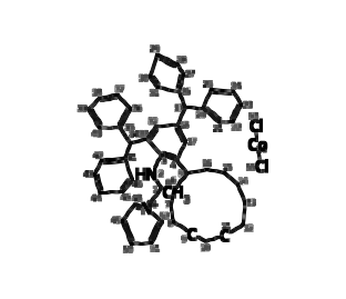 CC(Nc1c(C2CCCCCCCCCCC2)cc(C(c2ccccc2)c2ccccc2)cc1C(c1ccccc1)c1ccccc1)[n+]1ccccc1.[Cl][Co][Cl]